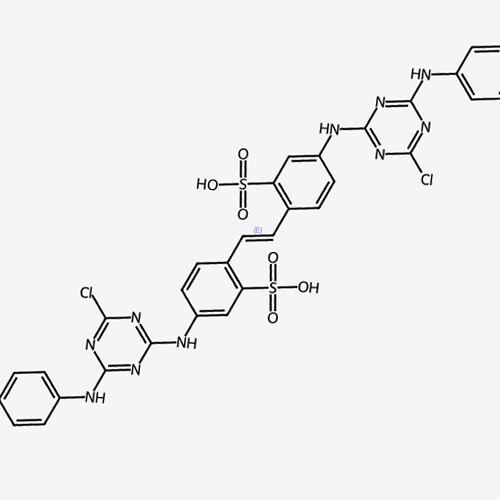 O=S(=O)(O)c1cc(Nc2nc(Cl)nc(Nc3ccccc3)n2)ccc1/C=C/c1ccc(Nc2nc(Cl)nc(Nc3ccccc3)n2)cc1S(=O)(=O)O